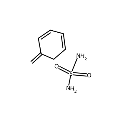 C=C1C=CC=CC1.NS(N)(=O)=O